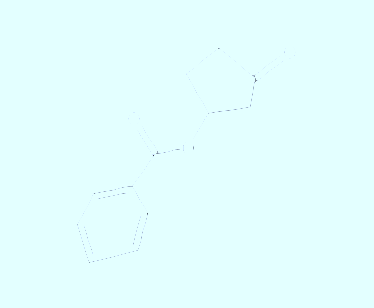 O=C1CCC(OC(=O)c2ccccc2)C1